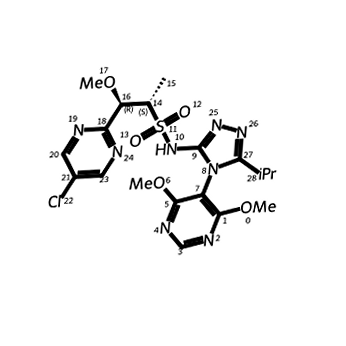 COc1ncnc(OC)c1-n1c(NS(=O)(=O)[C@@H](C)[C@H](OC)c2ncc(Cl)cn2)nnc1C(C)C